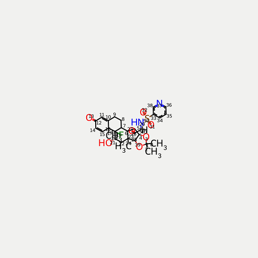 CC1(C)O[C@@H]2CC3C4CCC5=CC(=O)C=CC5(C)[C@@]4(F)[C@@H](O)CC3(C)[C@]2(C(=O)CNS(=O)(=O)c2cccnc2)O1